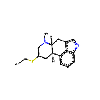 CCCN1CC(SCC(C)=O)C[C@@H]2c3cccc4[nH]cc(c34)C[C@H]21